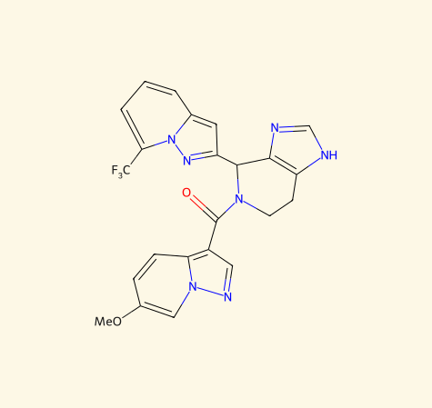 COc1ccc2c(C(=O)N3CCc4[nH]cnc4C3c3cc4cccc(C(F)(F)F)n4n3)cnn2c1